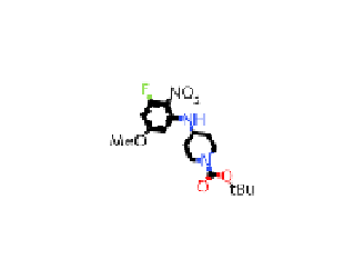 COc1cc(F)c([N+](=O)[O-])c(NC2CCN(C(=O)OC(C)(C)C)CC2)c1